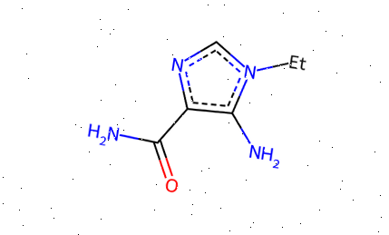 CCn1cnc(C(N)=O)c1N